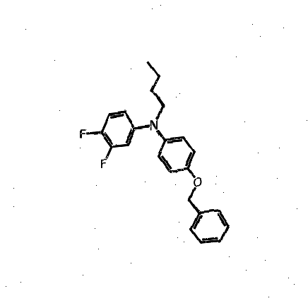 CCCCN(c1ccc(OCc2ccccc2)cc1)c1ccc(F)c(F)c1